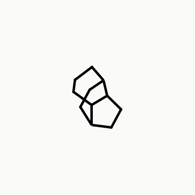 C1CC2CCC3CCC2C3C1